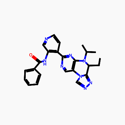 CCC1c2nncn2-c2cnc(-c3ccncc3NC(=O)c3ccccc3)nc2N1C(C)C